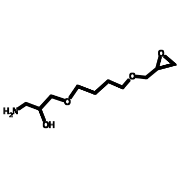 NCC(O)COCCCCOCC1CO1